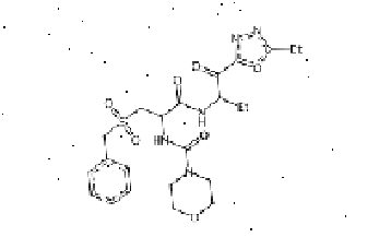 CCc1nnc(C(=O)C(CC)NC(=O)C(CS(=O)(=O)Cc2ccccc2)NC(=O)N2CCOCC2)o1